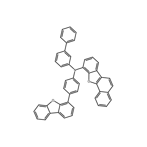 c1ccc(-c2cccc(N(c3ccc(-c4cccc5c4oc4ccccc45)cc3)c3cccc4c3oc3c5ccccc5ccc43)c2)cc1